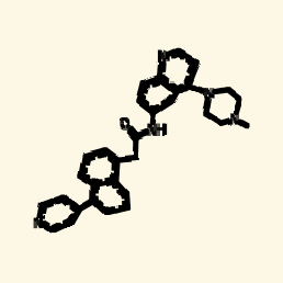 CN1CCN(c2ccnc3ccc(NC(=O)Cc4cccc5c(-c6ccncc6)cccc45)cc23)CC1